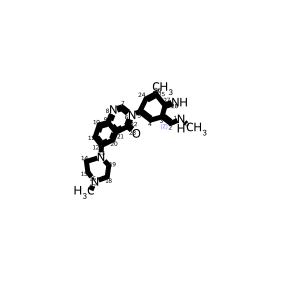 CN/C=C1/C=C(n2cnc3ccc(N4CCN(C)CC4)cc3c2=O)C=C(C)C1=N